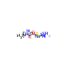 CN(C)CCCNC(=O)c1ccc2c(c1)CC(c1nc3ccc(-c4ccnc(N)n4)cc3s1)CO2